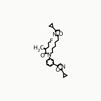 C=C(CCF)C(=O)N(CCCCCc1nc(C2CC2)co1)c1cccc(-c2cnc(C3CC3)o2)c1